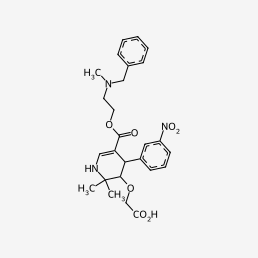 CN(CCOC(=O)C1=CNC(C)(C)C(OCC(=O)O)C1c1cccc([N+](=O)[O-])c1)Cc1ccccc1